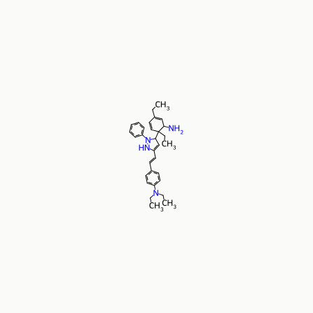 CCC1=CC(N)C(CC)(C2C=C(C=Cc3ccc(N(CC)CC)cc3)NN2c2ccccc2)C=C1